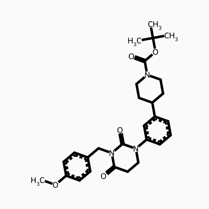 COc1ccc(CN2C(=O)CCN(c3cccc(C4CCN(C(=O)OC(C)(C)C)CC4)c3)C2=O)cc1